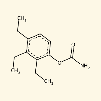 CCc1ccc(OC(N)=O)c(CC)c1CC